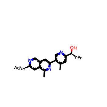 CCC[C@H](O)c1cc(C)c(-c2cc3cnc(NC(C)=O)cc3c(C)n2)cn1